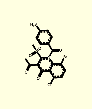 Bc1ccc(C(=O)n2c(S(C)(=O)=O)c(C(C)=O)c(=O)c3c(Cl)ccc(Br)c32)cc1